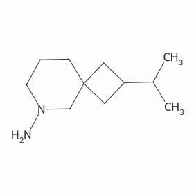 CC(C)C1CC2(CCCN(N)C2)C1